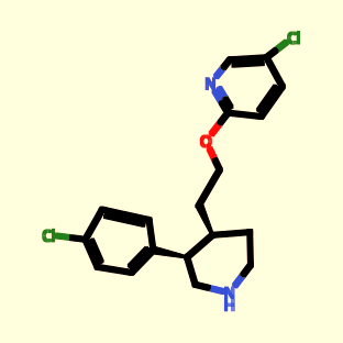 Clc1ccc([C@@H]2CNCC[C@@H]2CCOc2ccc(Cl)cn2)cc1